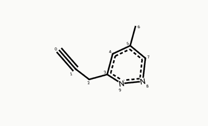 C#CCc1cc(C)cnn1